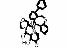 O=C1c2c(O)c(=O)ccn2N([C@@H]2c3ccccc3SCc3c(-c4ccccc4)cccc32)[C@@H]2COCCN12